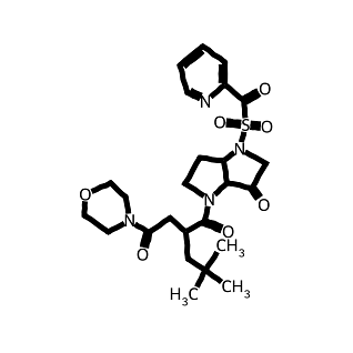 CC(C)(C)CC(CC(=O)N1CCOCC1)C(=O)N1CCC2C1C(=O)CN2S(=O)(=O)C(=O)c1ccccn1